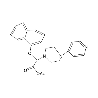 CC(=O)OC(=O)C(Oc1cccc2ccccc12)N1CCN(c2ccncc2)CC1